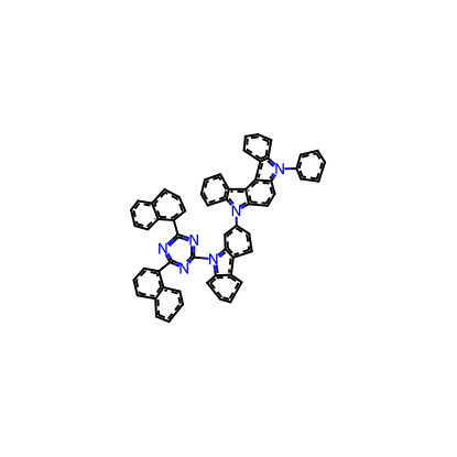 c1ccc(-n2c3ccccc3c3c4c5ccccc5n(-c5ccc6c7ccccc7n(-c7nc(-c8cccc9ccccc89)nc(-c8cccc9ccccc89)n7)c6c5)c4ccc32)cc1